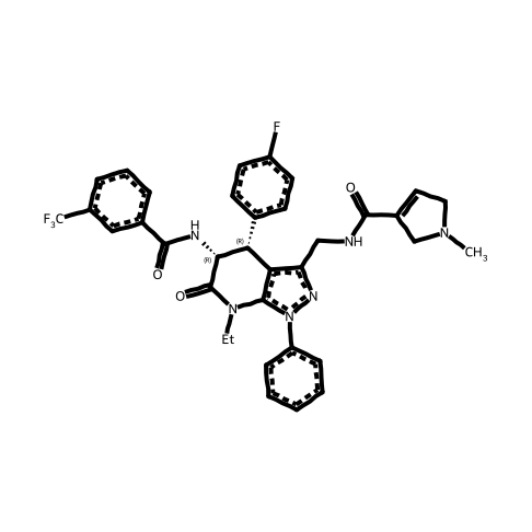 CCN1C(=O)[C@H](NC(=O)c2cccc(C(F)(F)F)c2)[C@H](c2ccc(F)cc2)c2c(CNC(=O)C3=CCN(C)C3)nn(-c3ccccc3)c21